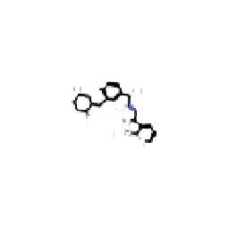 Cc1ccc2c(c1CC1CCCC[C@@H]1F)O/C(=C\c1n[nH]c3ncccc13)C2=O